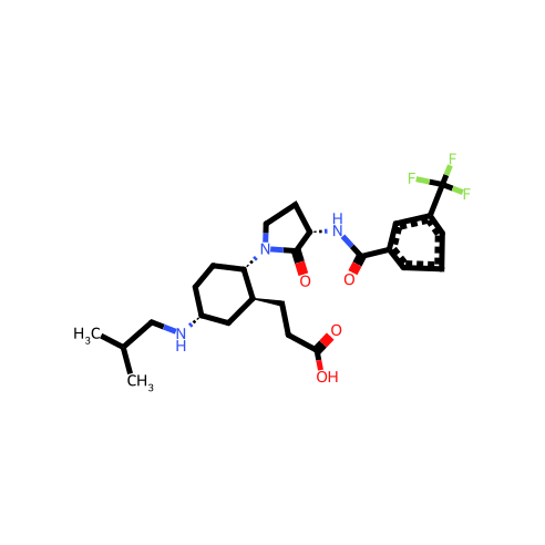 CC(C)CN[C@@H]1CC[C@H](N2CC[C@H](NC(=O)c3cccc(C(F)(F)F)c3)C2=O)[C@@H](CCC(=O)O)C1